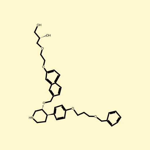 OC[C@H](O)COCCOc1ccc2ccc(CO[C@H]3CNCC[C@@H]3c3ccc(OCCCOCc4ccccc4)cc3)cc2c1